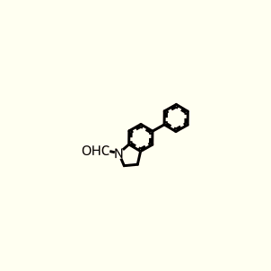 O=CN1CCc2cc(-c3ccccc3)ccc21